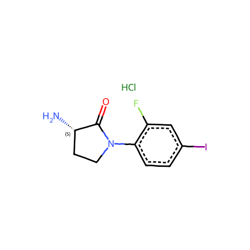 Cl.N[C@H]1CCN(c2ccc(I)cc2F)C1=O